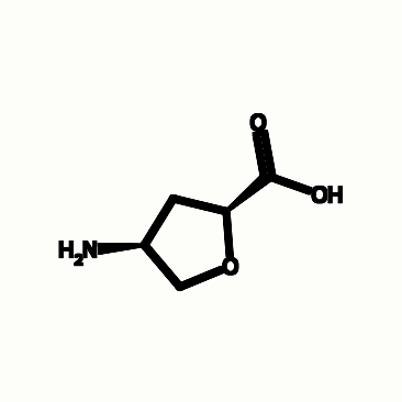 N[C@@H]1CO[C@H](C(=O)O)C1